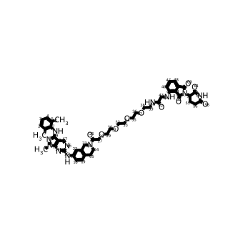 Cc1cccc(C)c1Nc1nn(C)c2nc(Nc3ccc4c(c3)CN(C(=O)COCCOCCOCCOCCNC(=O)CNc3cccc5c3C(=O)N(C3CCC(=O)NC3=O)C5=O)CC4)ncc12